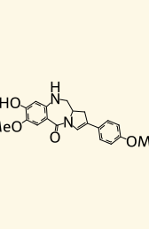 COc1ccc(C2=CN3C(=O)c4cc(OC)c(O)cc4NCC3C2)cc1